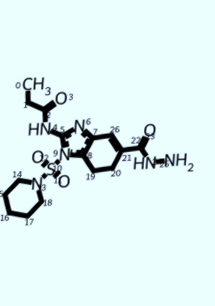 CCC(=O)Nc1nc2c(n1S(=O)(=O)N1CCCCC1)CCC(C(=O)NN)=C2